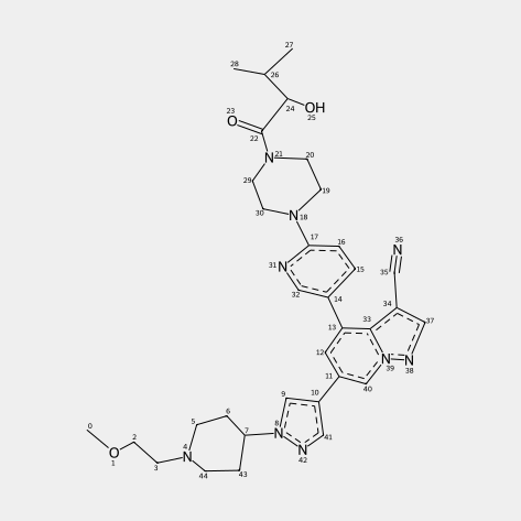 COCCN1CCC(n2cc(-c3cc(-c4ccc(N5CCN(C(=O)C(O)C(C)C)CC5)nc4)c4c(C#N)cnn4c3)cn2)CC1